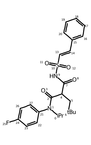 CC(C)N(C(=O)C(CC(C)(C)C)C(=O)NS(=O)(=O)C=Cc1ccccc1)c1ccc(F)cc1